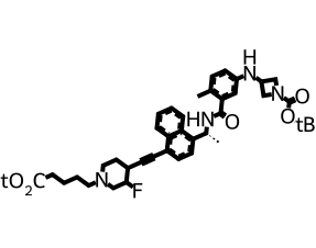 CCOC(=O)CCCCN1CCC(C#Cc2ccc([C@@H](C)NC(=O)c3cc(NC4CN(C(=O)OC(C)(C)C)C4)ccc3C)c3ccccc23)C(F)C1